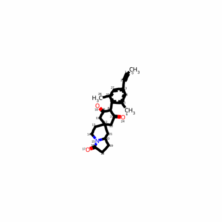 CC#Cc1cc(C)c(C2C(=O)CC3(CCN4C(=O)CCC4C3)CC2=O)c(C)c1